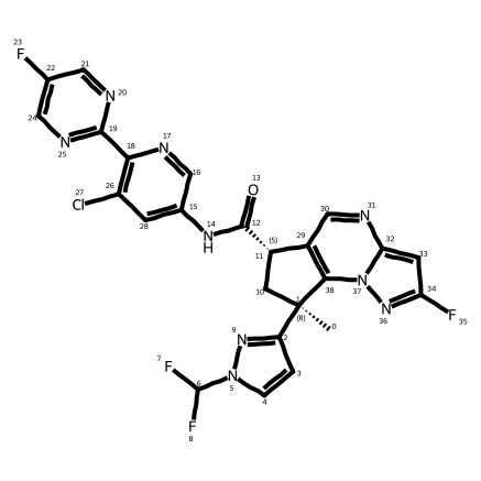 C[C@]1(c2ccn(C(F)F)n2)C[C@H](C(=O)Nc2cnc(-c3ncc(F)cn3)c(Cl)c2)c2cnc3cc(F)nn3c21